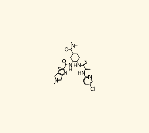 C=C(Nc1ccc(Cl)cn1)C(=S)N[C@H]1CC[C@H](C(=O)N(C)C)C[C@H]1NC(=O)c1nc2c(s1)CN(C)C2